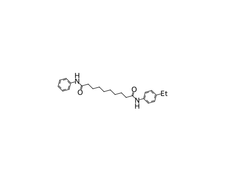 [CH2]Cc1ccc(NC(=O)CCCCCCCCC(=O)Nc2ccccc2)cc1